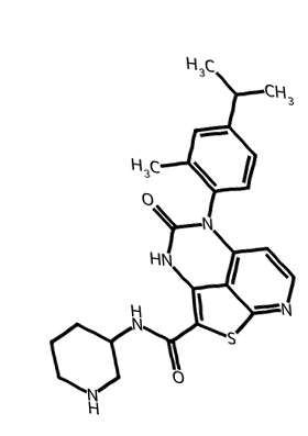 Cc1cc(C(C)C)ccc1N1C(=O)Nc2c(C(=O)NC3CCCNC3)sc3nccc1c23